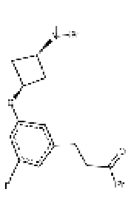 CC(C)N[C@H]1C[C@@H](Oc2cc(F)cc(CCC(=O)C(C)C)c2)C1